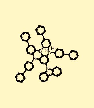 C1=C[C@@H]2C(C=C1c1ccccc1)B1c3cc(-c4ccccc4)ccc3N(c3ccc(-c4ccccc4)cc3)c3cc(-n4c5ccccc5c5ccccc54)cc(c31)N2c1ccc(-c2ccccc2)cc1